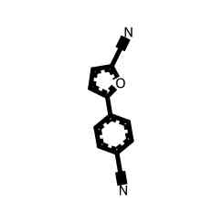 N#Cc1ccc(-c2ccc(C#N)o2)cc1